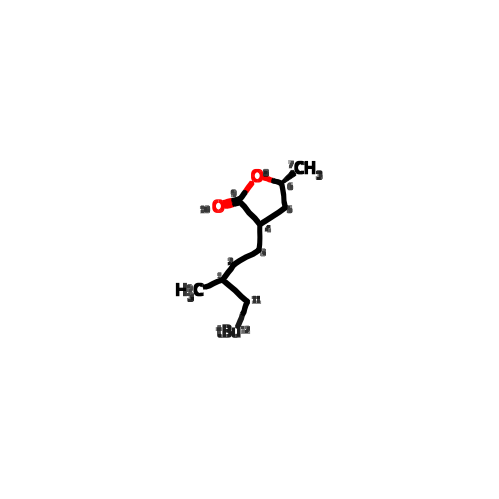 CC(CCC1C[C@H](C)OC1=O)CC(C)(C)C